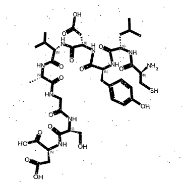 CC(C)C[C@H](NC(=O)[C@@H](N)CS)C(=O)N[C@@H](Cc1ccc(O)cc1)C(=O)N[C@@H](CC(=O)O)C(=O)N[C@H](C(=O)N[C@@H](C)C(=O)NCC(=O)N[C@@H](CO)C(=O)N[C@@H](CC(=O)O)C(=O)O)C(C)C